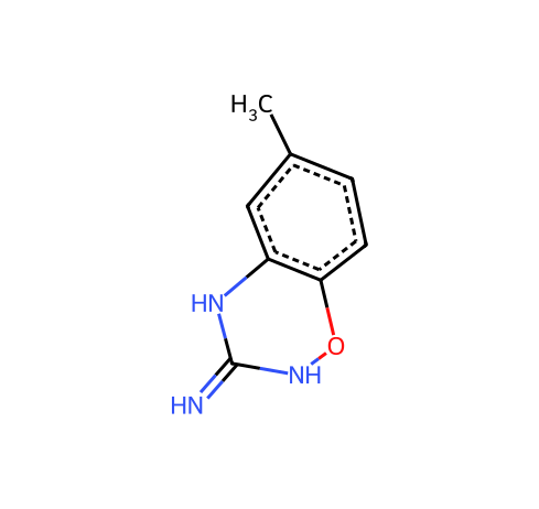 Cc1ccc2c(c1)NC(=N)NO2